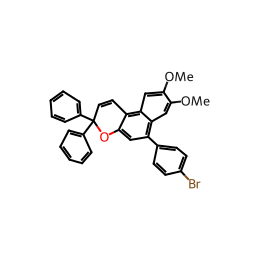 COc1cc2c(-c3ccc(Br)cc3)cc3c(c2cc1OC)C=CC(c1ccccc1)(c1ccccc1)O3